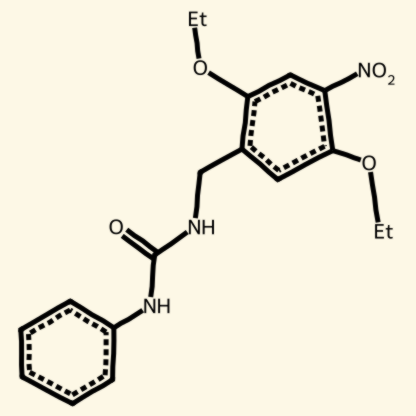 CCOc1cc([N+](=O)[O-])c(OCC)cc1CNC(=O)Nc1ccccc1